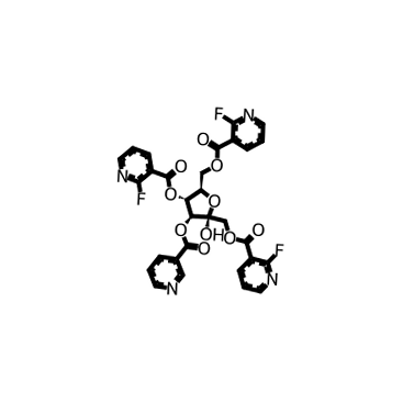 O=C(O[C@H]1[C@H](OC(=O)c2cccnc2F)[C@@H](COC(=O)c2cccnc2F)O[C@]1(O)COC(=O)c1cccnc1F)c1cccnc1